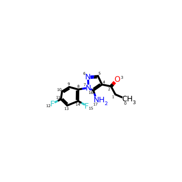 CCC(=O)c1cnn(-c2ccc(F)cc2F)c1N